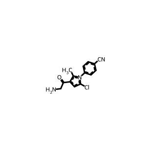 Cc1c(C(=O)CN)cc(Cl)n1-c1ccc(C#N)cc1